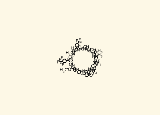 CCO[C@@H]1C[C@H]2C(=O)NC3(CCCC3)C(=O)N(C)[C@@H](C3CCCCC3)C(=O)N(C)[C@H](C(=O)N3CCOCC3)CC(=O)N(C)[C@@H](CC(F)(F)F)C(=O)N[C@@H]([C@@H](C)CC)C(=O)N(C)CC(=O)N(C)CC(=O)N(C)[C@@H](Cc3ccc(C(F)(F)F)cc3)C(=O)N(C)CC(=O)N[C@@H](CCc3cc(F)c(C(F)(F)F)c(F)c3)C(=O)N2C1